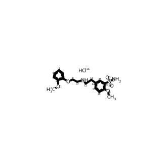 COc1ccccc1OCCNCCc1ccc(OC)c(S(N)(=O)=O)c1.Cl